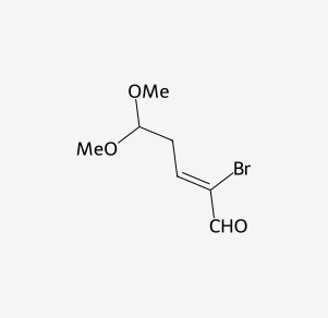 COC(CC=C(Br)C=O)OC